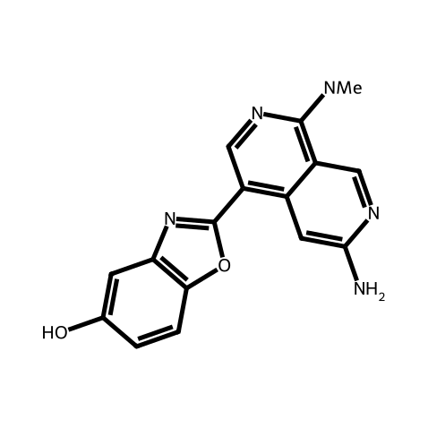 CNc1ncc(-c2nc3cc(O)ccc3o2)c2cc(N)ncc12